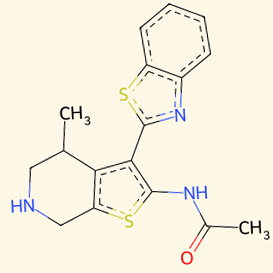 CC(=O)Nc1sc2c(c1-c1nc3ccccc3s1)C(C)CNC2